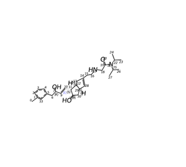 Cc1cccc(C[C@@H](O)/C=C/[C@@H]2[C@H]3CC(CCNCC(=O)N(C(C)C)C(C)C)=C[C@H]3C[C@H]2O)c1